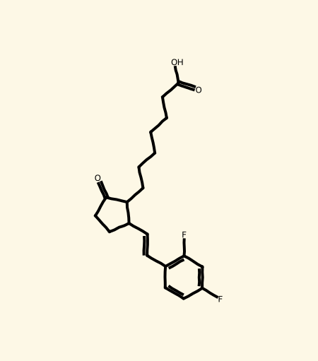 O=C(O)CCCCCCC1C(=O)CCC1/C=C/c1ccc(F)cc1F